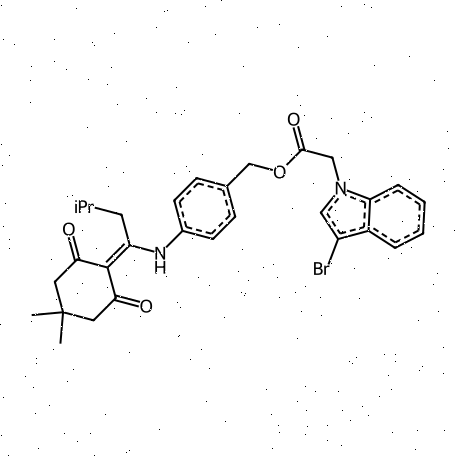 CC(C)CC(Nc1ccc(COC(=O)Cn2cc(Br)c3ccccc32)cc1)=C1C(=O)CC(C)(C)CC1=O